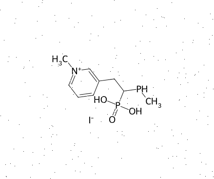 CPC(Cc1ccc[n+](C)c1)P(=O)(O)O.[I-]